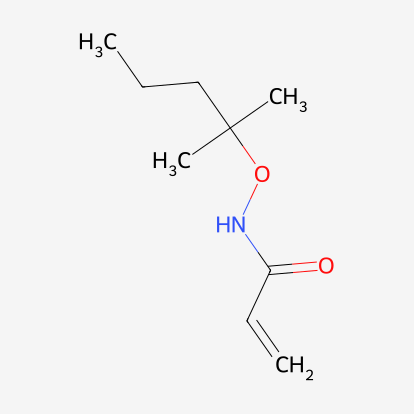 C=CC(=O)NOC(C)(C)CCC